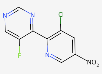 O=[N+]([O-])c1cnc(-c2ncncc2F)c(Cl)c1